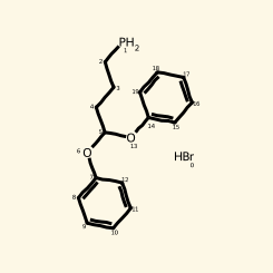 Br.PCCCC(Oc1ccccc1)Oc1ccccc1